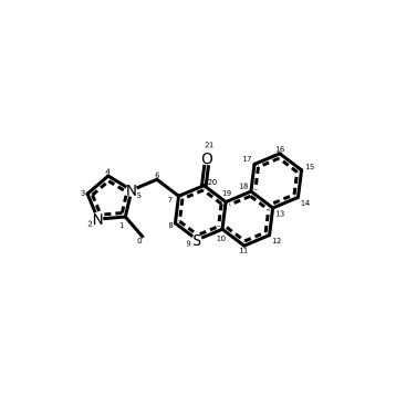 Cc1nccn1Cc1csc2ccc3ccccc3c2c1=O